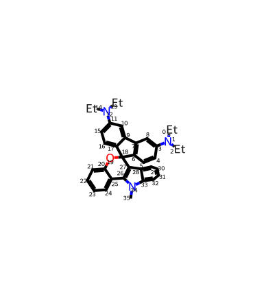 CCN(CC)c1ccc2c(c1)-c1cc(N(CC)CC)ccc1C21Oc2ccccc2-c2c1c1ccccc1n2C